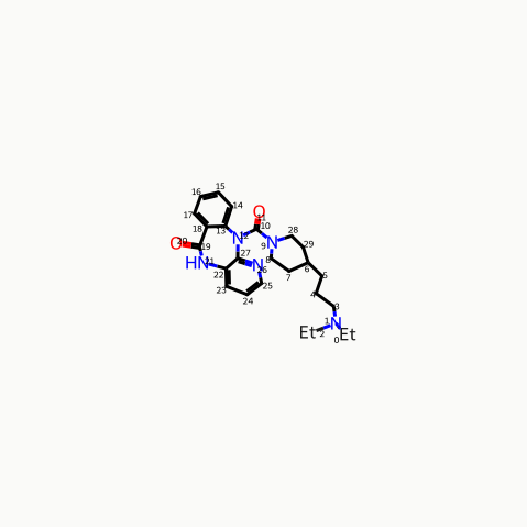 CCN(CC)CCCC1CCN(C(=O)N2c3ccccc3C(=O)Nc3cccnc32)CC1